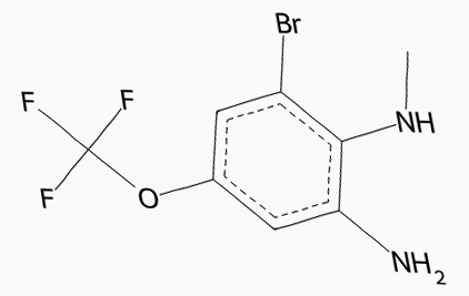 CNc1c(N)cc(OC(F)(F)F)cc1Br